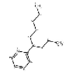 [CH2]CCC(CCCCC)c1ccccn1